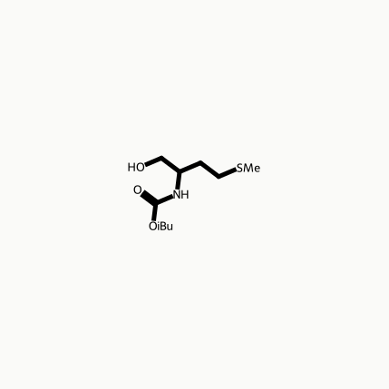 CSCCC(CO)NC(=O)OCC(C)C